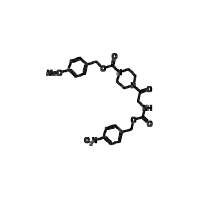 COc1ccc(COC(=O)N2CCN(C(=O)CNC(=O)OCc3ccc([N+](=O)[O-])cc3)CC2)cc1